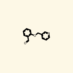 O=Cc1ccccc1OCc1cccnc1